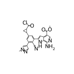 COC(=O)c1cnc(N)c2[nH]c(-c3cc(C4CC4C(=O)Cl)cc(-c4cnn(C)c4)c3C#N)cc12